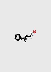 [CH3][Mn]([CH2]C=C=O)[C]1=CC=CC1